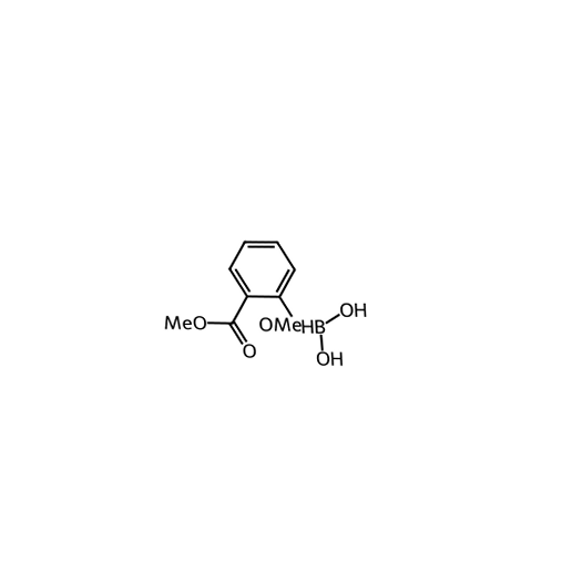 COC(=O)c1ccccc1OC.OBO